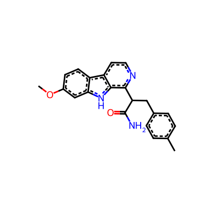 COc1ccc2c(c1)[nH]c1c(C(Cc3ccc(C)cc3)C(N)=O)nccc12